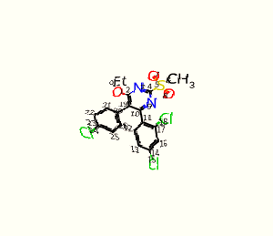 CCOc1nc(S(C)(=O)=O)nc(-c2ccc(Cl)cc2Cl)c1-c1ccc(Cl)cc1